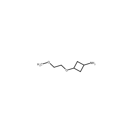 COCCOC1CC(N)C1